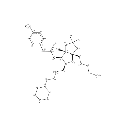 CCCCCCCCCCCCOC[C@@]12O[C@@H](CNCCN3CCOCC3)[C@@H](OC(=O)Nc3ccc([N+](=O)[O-])cc3)[C@@H]1OC(C)(C)O2